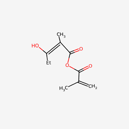 C=C(C)C(=O)OC(=O)C(C)=C(O)CC